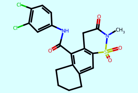 CN1C(=O)Cc2c(cc3c(c2C(=O)Nc2ccc(Cl)c(Cl)c2)CCCC3)S1(=O)=O